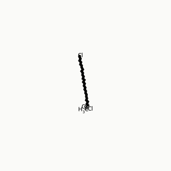 C[Si](Cl)(Cl)CCCCCCCCCCCCCCCCCCCCCCCCCCCCCl